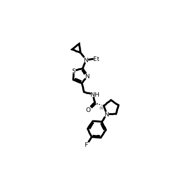 CCN(c1nc(CNC(=O)[C@@H]2CCCN2c2ccc(F)cc2)cs1)C1CC1